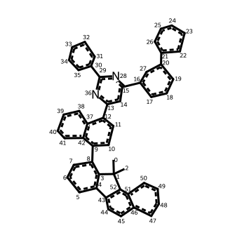 CC1(C)c2c(cccc2-c2ccc(-c3cc(-c4cccc(-c5ccccc5)c4)nc(-c4ccccc4)n3)c3ccccc23)-c2ccc3ccccc3c21